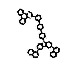 C1=CC(c2cccc3ccccc23)Cc2c1n(-c1ccc(-c3ccc(-c4cccc(-c5cnc6c7ccccc7c7ccccc7c6n5)c4)cc3)cc1)c1ccc(-c3cccc4ccccc34)cc21